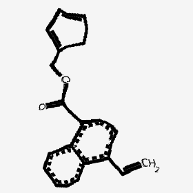 C=Cc1ccc(C(=O)OCC2=CC=CC2)c2ccccc12